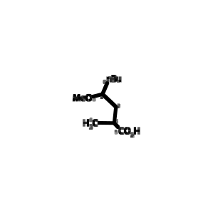 CCCCC(CC(C)C(=O)O)OC